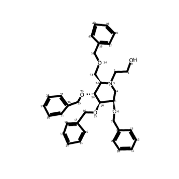 OCCN1C[C@@H](OCc2ccccc2)[C@@H](OCc2ccccc2)[C@H](OCc2ccccc2)[C@H]1COCc1ccccc1